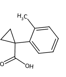 Cc1ccccc1C1(C(=O)O)CC1